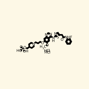 COc1cc2c(Nc3ncc(CC(=O)Nc4ccccc4F)s3)ncnc2cc1OCCCN1CCC(COP(=O)(O)O)CC1.Cl.Cl